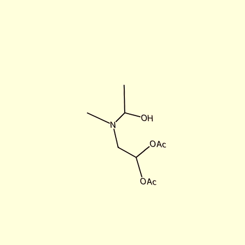 CC(=O)OC(CN(C)C(C)O)OC(C)=O